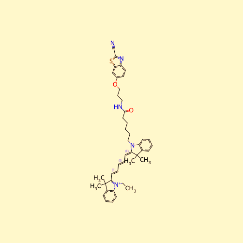 CC[N+]1=C(/C=C/C=C/C=C2/N(CCCCCC(=O)NCCCOc3ccc4nc(C#N)sc4c3)c3ccccc3C2(C)C)C(C)(C)c2ccccc21